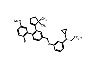 COc1ccc(F)c(-c2ccc(COc3cccc([C@@H](CC(=O)O)C4CC4)c3)cc2C2=CCCC2(C)C)c1